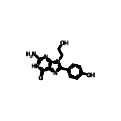 Nc1nc2c(nc(-c3ccc(O)cc3)n2CCO)c(=O)[nH]1